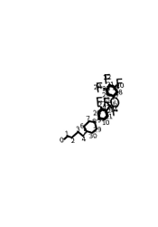 CCCCC[C@H]1CC[C@H](c2ccc(C(F)(F)Oc3cc(F)c(F)c(F)c3)c(F)c2)CC1